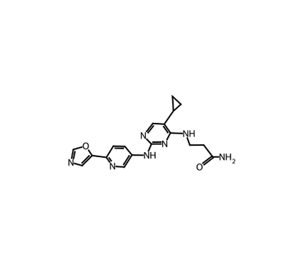 NC(=O)CCNc1nc(Nc2ccc(-c3cnco3)nc2)ncc1C1CC1